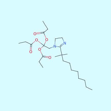 CCCCCCCCC(C)(C)C1=NCCN1CC(OC(=O)CC)(OC(=O)CC)OC(=O)CC